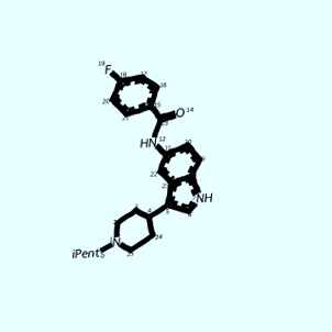 CCCC(C)N1CCC(c2c[nH]c3ccc(NC(=O)c4ccc(F)cc4)cc23)CC1